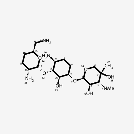 CN[C@@H]1[C@@H](O)[C@@H](O[C@H]2CC[C@H](N)[C@@H](O[C@H]3O[C@H](CN)CC[C@H]3N)[C@@H]2O)OC[C@]1(C)O